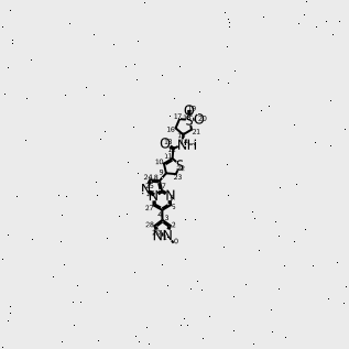 Cn1cc(-c2cnc3c(C4C=C(C(=O)NC5CCS(=O)(=O)C5)SC4)cnn3c2)cn1